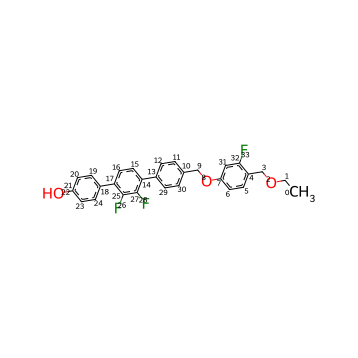 CCOCc1ccc(OCc2ccc(-c3ccc(-c4ccc(O)cc4)c(F)c3F)cc2)cc1F